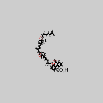 CCC(C)(OCCC(C)CCC=C(C)C)C(C)(C)CCCC(C)CCOC(C)(CC)C(C)(C)CCCC(C)CCOC(=O)c1ccccc1-c1ccccc1C(=O)O